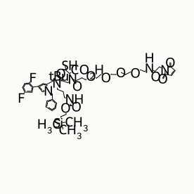 CC(C)(C)C(c1cc(-c2cc(F)ccc2F)cn1Cc1ccccc1)N(CCCNC(=O)OCC[Si](C)(C)C)C(=O)CN(C(=O)CCOCCOCCOCCOCCNC(=O)CN1C(=O)C=CC1=O)C(CS)C(=O)O